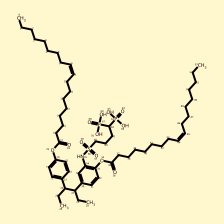 CCCCCCCC/C=C\CCCCCCCC(=O)Oc1ccc(C(CC)C(CC)c2ccc(OC(=O)CCCCCCC/C=C\CCCCCCCC)c(NS(=O)(=O)CCCC(P(=O)(O)O)P(=O)(O)O)c2)cc1